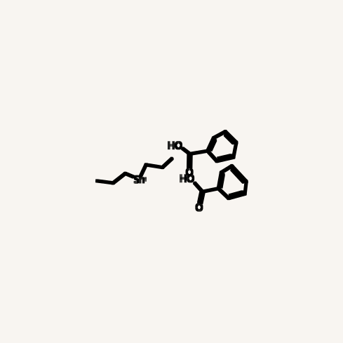 CC[CH2][Sn][CH2]CC.O=C(O)c1ccccc1.O=C(O)c1ccccc1